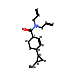 C=CCN(CC=C)C(=O)C1C=CC(C2CC2C(C)=O)CC1